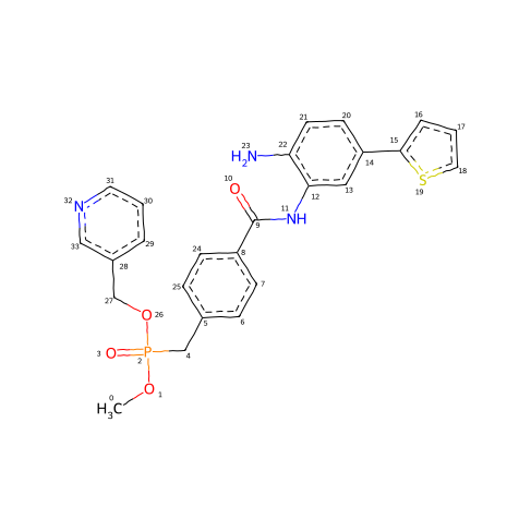 COP(=O)(Cc1ccc(C(=O)Nc2cc(-c3cccs3)ccc2N)cc1)OCc1cccnc1